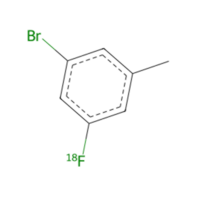 Cc1cc([18F])cc(Br)c1